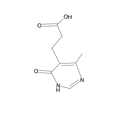 Cc1nc[nH]c(=O)c1CCC(=O)O